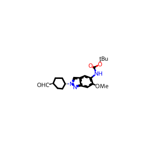 COc1cc2nn([C@H]3CC[C@H](C=O)CC3)cc2cc1NC(=O)OC(C)(C)C